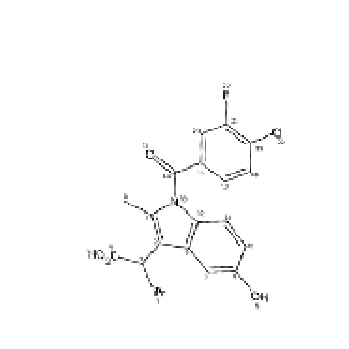 Cc1c(C(C(=O)O)C(C)C)c2cc(O)ccc2n1C(=O)c1ccc(Cl)c(F)c1